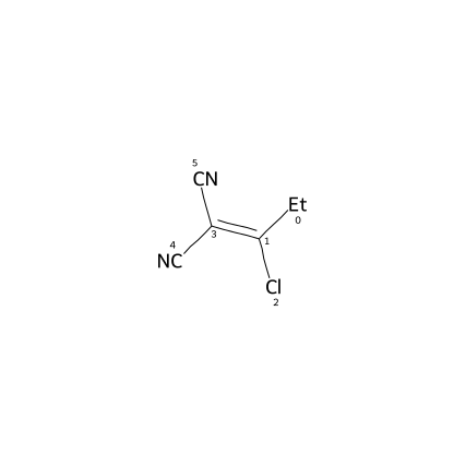 CCC(Cl)=C(C#N)C#N